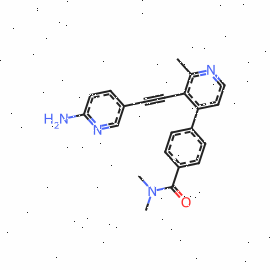 Cc1nccc(-c2ccc(C(=O)N(C)C)cc2)c1C#Cc1ccc(N)nc1